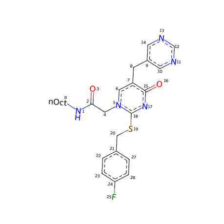 CCCCCCCCNC(=O)Cn1cc(Cc2cncnc2)c(=O)nc1SCc1ccc(F)cc1